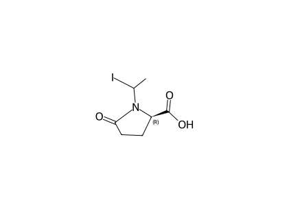 CC(I)N1C(=O)CC[C@@H]1C(=O)O